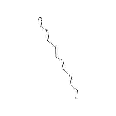 C=C/C=C/C=C/C=C/C=C/C=O